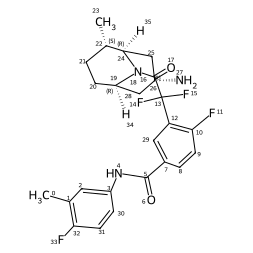 Cc1cc(NC(=O)c2ccc(F)c(C(F)(F)C(=O)N3[C@@H]4CC[C@H](C)[C@H]3C[C@H](N)C4)c2)ccc1F